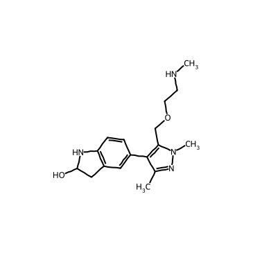 CNCCOCc1c(-c2ccc3c(c2)CC(O)N3)c(C)nn1C